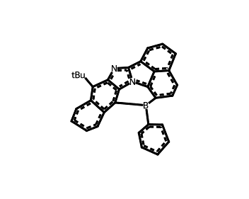 CC(C)(C)c1c2ccccc2c2c3c1nc1c4cccc5ccc(c(c54)n13)B2c1ccccc1